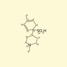 CC1=CCC(C2CCN(C)CC2)(S(=O)(=O)O)C=C1